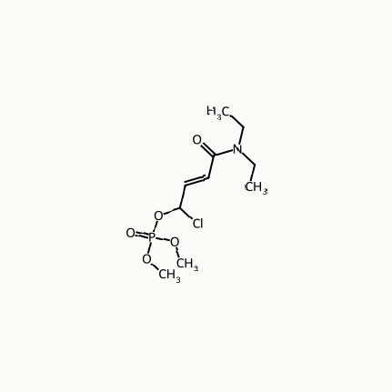 CCN(CC)C(=O)C=CC(Cl)OP(=O)(OC)OC